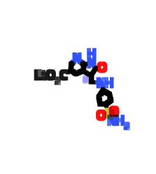 CCOC(=O)c1cnc2c(c1)/C(=C/Nc1ccc(S(N)(=O)=O)cc1)C(=O)N2